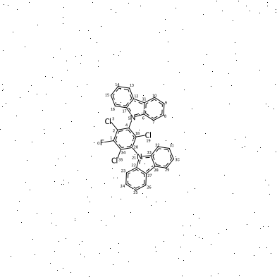 Fc1c(Cl)c(-n2c3ccccc3c3ccccc32)c(Cl)c(-n2c3ccccc3c3ccccc32)c1Cl